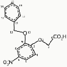 O=C(O)COc1ccc([N+](=O)[O-])cc1OCc1ccccc1